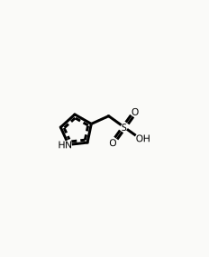 O=S(=O)(O)Cc1cc[nH]c1